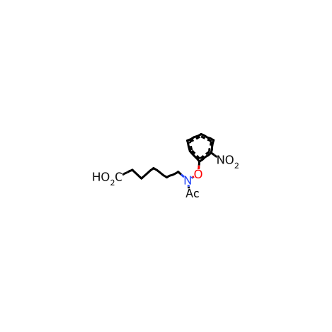 CC(=O)N(CCCCCC(=O)O)Oc1ccccc1[N+](=O)[O-]